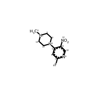 CN1CCN(c2cc(F)ncc2[N+](=O)[O-])CC1